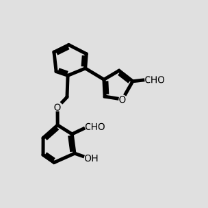 O=Cc1cc(-c2ccccc2COc2cccc(O)c2C=O)co1